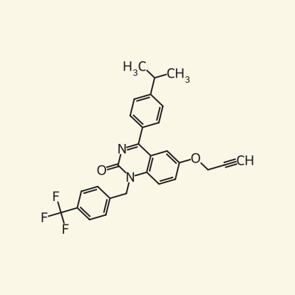 C#CCOc1ccc2c(c1)c(-c1ccc(C(C)C)cc1)nc(=O)n2Cc1ccc(C(F)(F)F)cc1